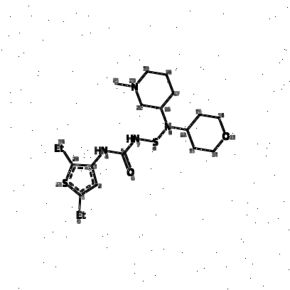 CCc1cc(NC(=O)NSN(C2CCOCC2)C2CCCN(C)C2)c(CC)s1